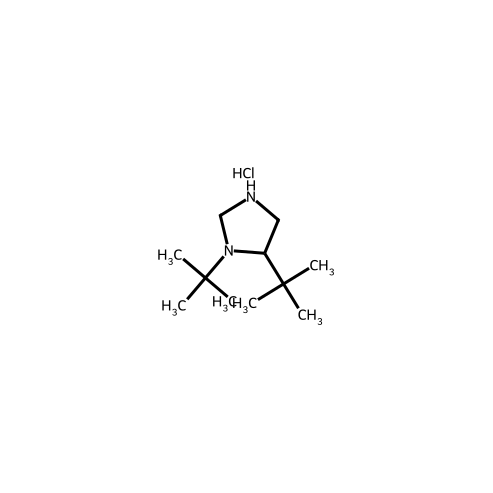 CC(C)(C)C1CNCN1C(C)(C)C.Cl